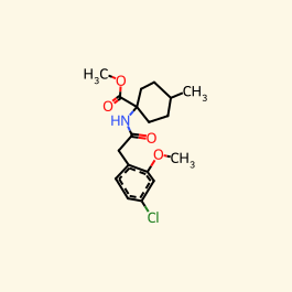 COC(=O)C1(NC(=O)Cc2ccc(Cl)cc2OC)CCC(C)CC1